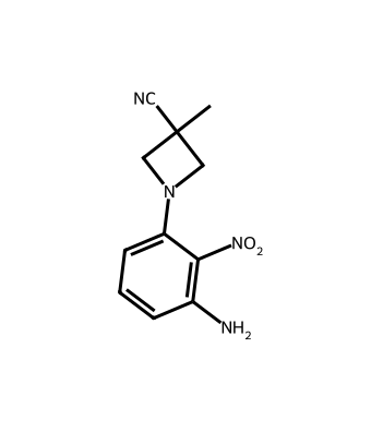 CC1(C#N)CN(c2cccc(N)c2[N+](=O)[O-])C1